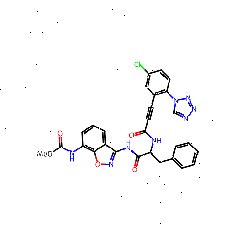 COC(=O)Nc1cccc2c(NC(=O)C(Cc3ccccc3)NC(=O)C#Cc3cc(Cl)ccc3-n3cnnn3)noc12